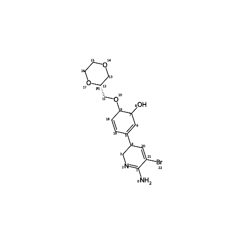 NC1=NCC(C2=CC(O)C(OC[C@H]3COCCO3)C=C2)C=C1Br